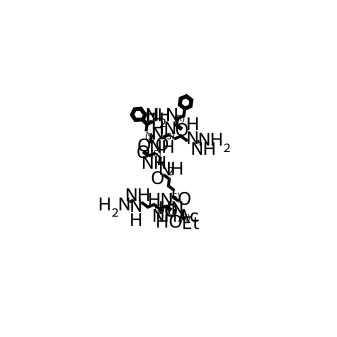 CC[C@@H](O)CNC(=O)[C@H](CCCC(=O)NCC[C@H](NC(=O)[C@H](Cc1c[nH]c2ccccc12)NC(=O)[C@H](CCCNC(=N)N)NC(=O)[C@H](N)Cc1ccccc1)C(N)=O)NC(=O)[C@H](CCCNC(=N)N)NC(C)=O